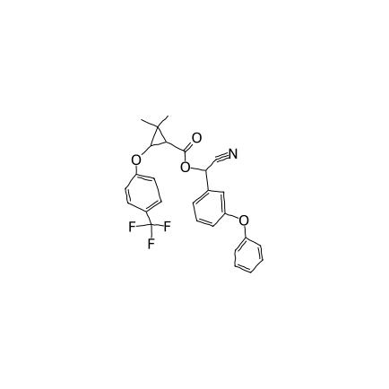 CC1(C)C(Oc2ccc(C(F)(F)F)cc2)C1C(=O)OC(C#N)c1cccc(Oc2ccccc2)c1